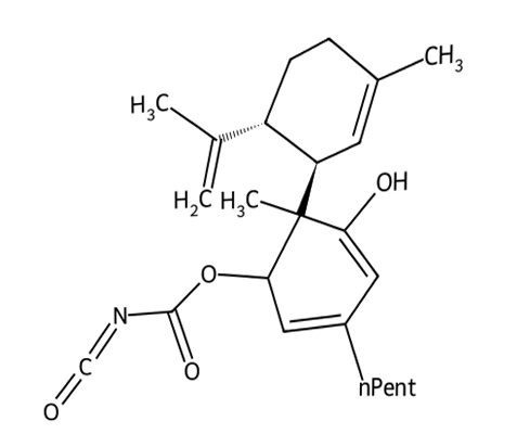 C=C(C)[C@@H]1CCC(C)=C[C@H]1C1(C)C(O)=CC(CCCCC)=CC1OC(=O)N=C=O